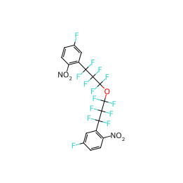 O=[N+]([O-])c1ccc(F)cc1C(F)(F)C(F)(F)C(F)(F)OC(F)(F)C(F)(F)C(F)(F)c1cc(F)ccc1[N+](=O)[O-]